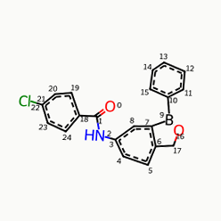 O=C(Nc1ccc2c(c1)B(c1ccccc1)OC2)c1ccc(Cl)cc1